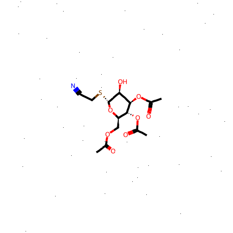 CC(=O)OC[C@H]1O[C@H](SCC#N)[C@@H](O)[C@@H](OC(C)=O)[C@@H]1OC(C)=O